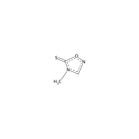 Cn1cnoc1=S